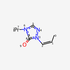 C/C=C\n1ncn(C(C)C)c1=O